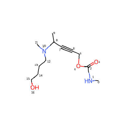 CNC(=O)OCC#CC(C)N(C)CCCCO